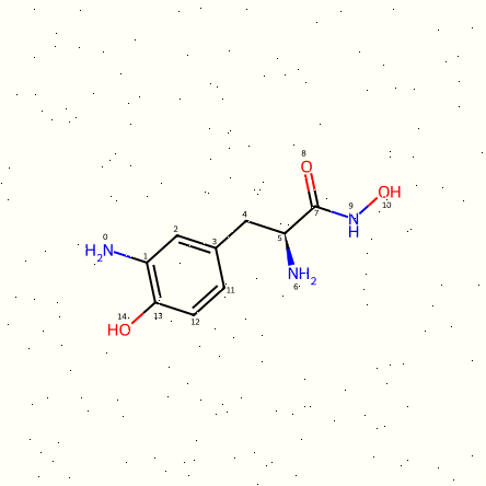 Nc1cc(C[C@H](N)C(=O)NO)ccc1O